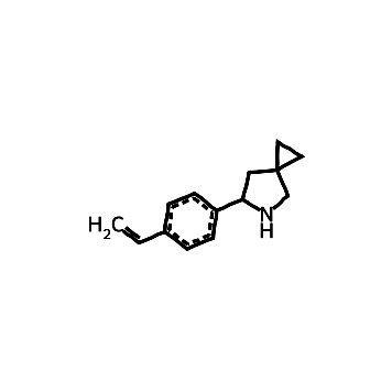 C=Cc1ccc(C2CC3(CC3)CN2)cc1